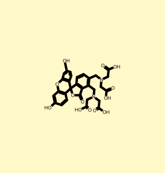 O=C(O)CN(CC(=O)O)Cc1ccc2c(c1CN(CC(=O)O)CC(=O)O)C(=O)OC21c2ccc(O)cc2Oc2cc(O)ccc21